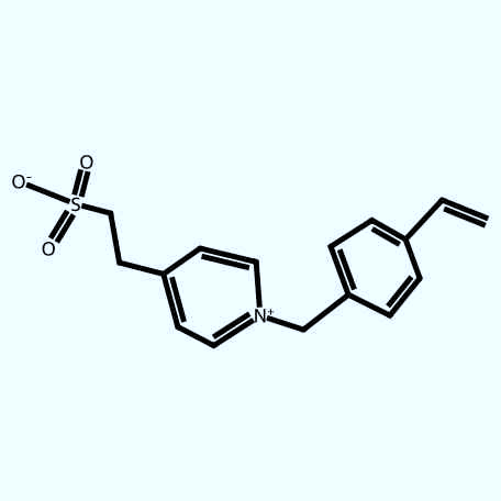 C=Cc1ccc(C[n+]2ccc(CCS(=O)(=O)[O-])cc2)cc1